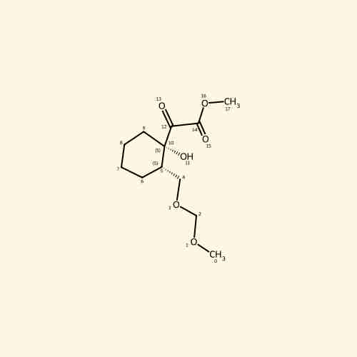 COCOC[C@@H]1CCCC[C@@]1(O)C(=O)C(=O)OC